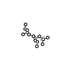 c1ccc(-c2cc(-c3ccccc3)nc(-c3cccc(-n4c5ccc(-c6ccc7c(c6)c6ccc8c(ccn8-c8ccccc8)c6n7-c6ccccc6)cc5c5ccc6c(ccn6-c6ccccc6)c54)c3)n2)cc1